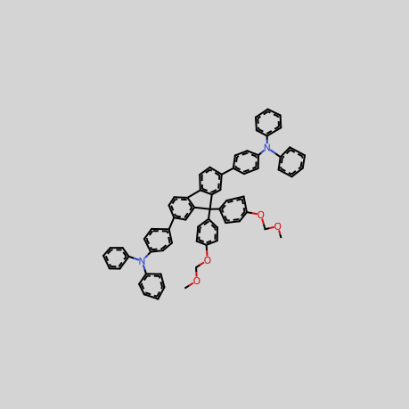 COCOc1ccc(C2(c3ccc(OCOC)cc3)c3cc(-c4ccc(N(c5ccccc5)c5ccccc5)cc4)ccc3-c3ccc(-c4ccc(N(c5ccccc5)c5ccccc5)cc4)cc32)cc1